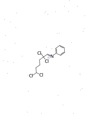 ClC(Cl)CCCC(Cl)(Cl)/C=N/c1ccccc1